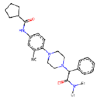 [C-]#[N+]c1cc(NC(=O)C2CCCC2)ccc1N1CCN(C(C(=O)N(CC)CC)c2ccccc2)CC1